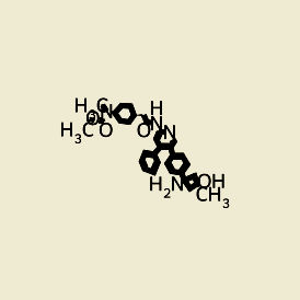 COC(=O)N(C)[C@H]1CC[C@H](CC(=O)Nc2cc(-c3ccccc3)c(-c3ccc([C@]4(N)C[C@](C)(O)C4)cc3)cn2)CC1